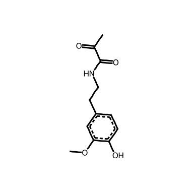 COc1cc(CCNC(=O)C(C)=O)ccc1O